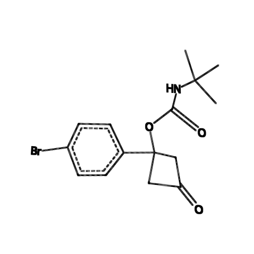 CC(C)(C)NC(=O)OC1(c2ccc(Br)cc2)CC(=O)C1